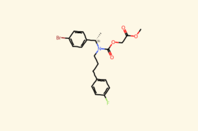 COC(=O)COC(=O)N(CCCc1ccc(F)cc1)[C@@H](C)c1ccc(Br)cc1